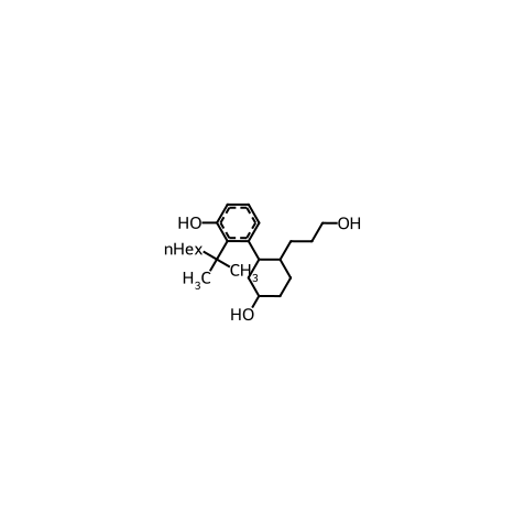 CCCCCCC(C)(C)c1c(O)cccc1C1CC(O)CCC1CCCO